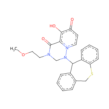 COCCN1CN(C2c3ccccc3CSc3ccccc32)n2ccc(=O)c(O)c2C1=O